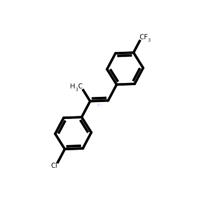 C/C(=C\c1ccc(C(F)(F)F)cc1)c1ccc(Cl)cc1